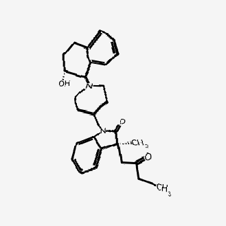 CCC(=O)C[C@]1(C)C(=O)N(C2CCN(C3c4ccccc4CC[C@H]3O)CC2)c2ccccc21